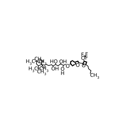 CCCCCc1cc(OC(F)(F)F)c(-c2cc3ccc(OCC(O)C(O)CC(O)C(O)CCCOC(=O)C(CC(C)(C)C)C(C)(C)C)cc3o2)o1